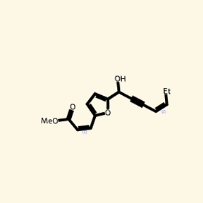 CC/C=C\C#CC(O)c1ccc(/C=C\C(=O)OC)o1